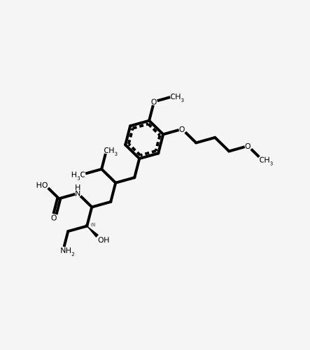 COCCCOc1cc(CC(CC(NC(=O)O)[C@@H](O)CN)C(C)C)ccc1OC